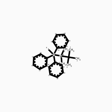 CC(C)(C)[Si](C)(C)P(I)(c1ccccc1)(c1ccccc1)c1ccccc1